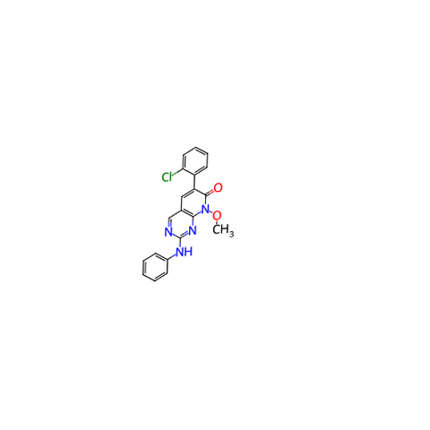 COn1c(=O)c(-c2ccccc2Cl)cc2cnc(Nc3ccccc3)nc21